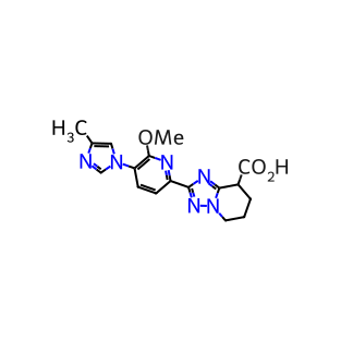 COc1nc(-c2nc3n(n2)CCCC3C(=O)O)ccc1-n1cnc(C)c1